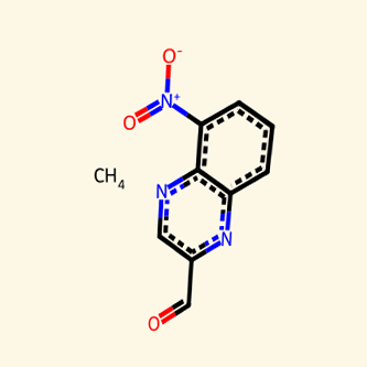 C.O=Cc1cnc2c([N+](=O)[O-])cccc2n1